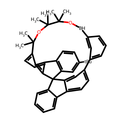 CC(C)(C)c1ccc2c(c1)C13c4ccccc4-c4ccc(cc41)-c1cccc(c1)BOC(C)(C)C(C)(C)OC(C)(C)c1ccc-2c3c1